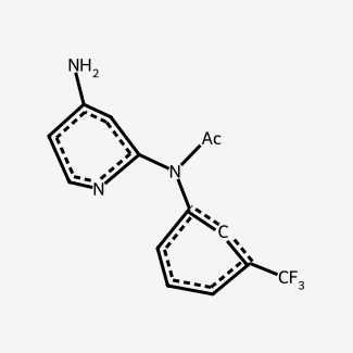 CC(=O)N(c1cccc(C(F)(F)F)c1)c1cc(N)ccn1